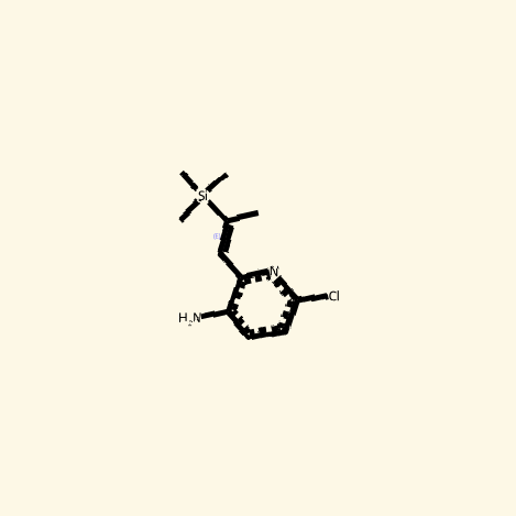 C/C(=C\c1nc(Cl)ccc1N)[Si](C)(C)C